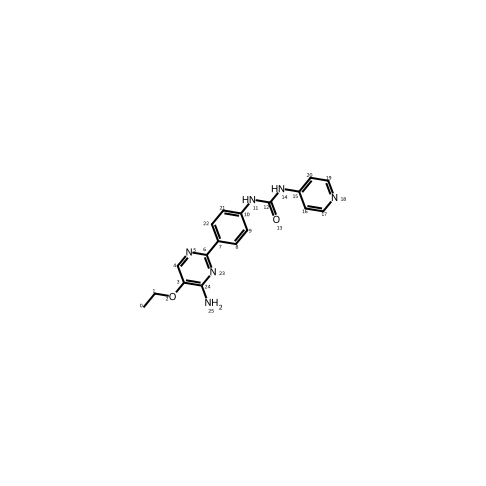 CCOc1cnc(-c2ccc(NC(=O)Nc3ccncc3)cc2)nc1N